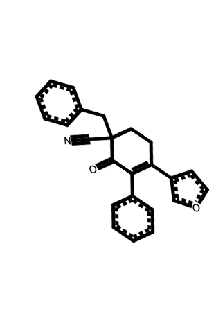 N#CC1(Cc2ccccc2)CCC(c2ccoc2)=C(c2ccccc2)C1=O